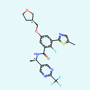 Cc1cnc(-c2cc(OC[C@H]3CCOC3)cc(C(=O)N[C@H](C)c3cnc(C(F)(F)F)nc3)c2F)s1